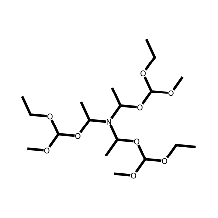 CCOC(OC)OC(C)N(C(C)OC(OC)OCC)C(C)OC(OC)OCC